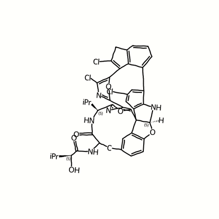 CC(C)[C@H](O)C(=O)NC1Cc2ccc3c(c2)C24c5cc(Cl)cc(c5N[C@H]2O3)-c2cccc3c2C(=C(Cl)C3)c2oc(nc2Cl)-c2nc(oc24)[C@H](C(C)C)NC1=O